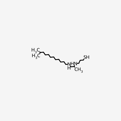 CC(C)CCCCCCCCCCNCC(C)NCCCS